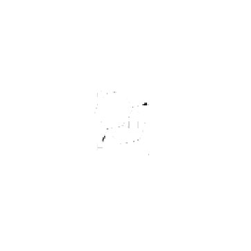 O=C1C[C@H]2COC[C@@H](C1)N2